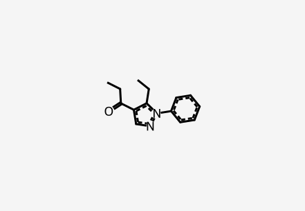 CCC(=O)c1cnn(-c2ccccc2)c1CC